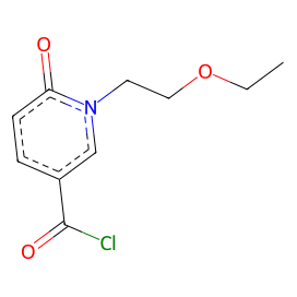 CCOCCn1cc(C(=O)Cl)ccc1=O